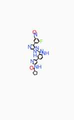 O=NCc1cc(F)cc(-c2cncc3[nH]c(-c4n[nH]c5ccc(-c6cncc(NC(=O)C7CCCC7)c6)cc45)nc23)c1